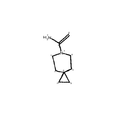 C=C(N)N1CCC2(CC1)CC2